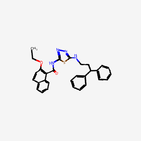 CCOc1ccc2ccccc2c1C(=O)Nc1nnc(NCCC(c2ccccc2)c2ccccc2)s1